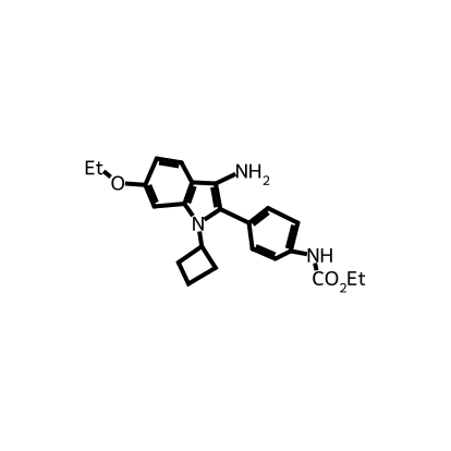 CCOC(=O)Nc1ccc(-c2c(N)c3ccc(OCC)cc3n2C2CCC2)cc1